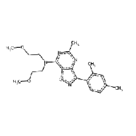 COCCN(CCOC)c1nc(C)nc2c(-c3ccc(C)cc3C)noc12